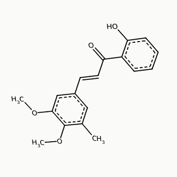 COc1cc(C=CC(=O)c2ccccc2O)cc(C)c1OC